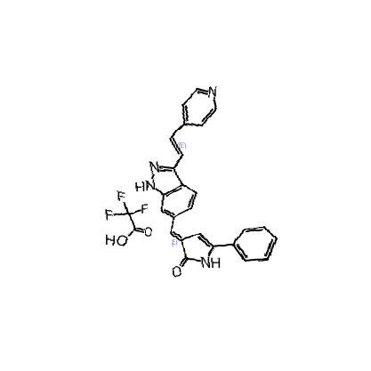 O=C(O)C(F)(F)F.O=C1NC(c2ccccc2)=C/C1=C\c1ccc2c(/C=C/c3ccncc3)n[nH]c2c1